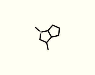 CC1CN(C)C2CCCC12